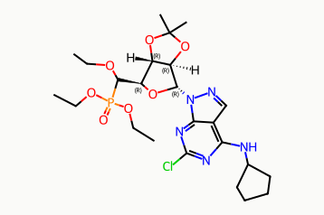 CCOC([C@@H]1O[C@@H](n2ncc3c(NC4CCCC4)nc(Cl)nc32)[C@@H]2OC(C)(C)O[C@H]21)P(=O)(OCC)OCC